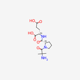 CC(C)(N)C(=O)N1CCC[C@H]1C(=O)N[C@@H](CCC(=O)O)C(=O)O